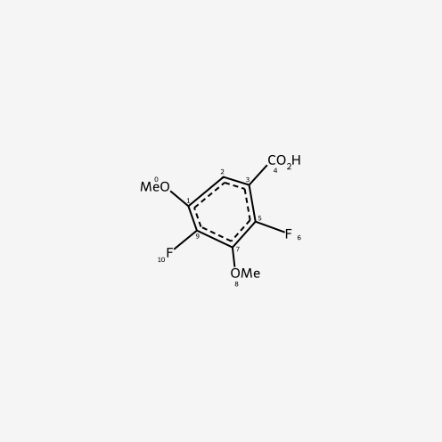 COc1cc(C(=O)O)c(F)c(OC)c1F